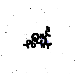 C=C(C)C1=C/C(C(C)CSC)=N\C2CCCN(C(=O)OC(C)C)C2C\C(C)=N\1